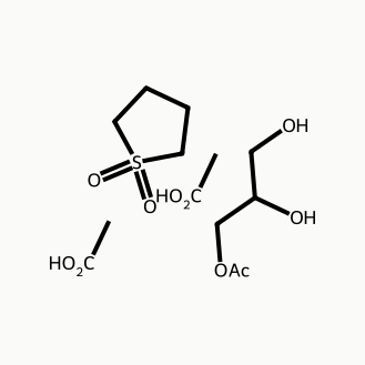 CC(=O)O.CC(=O)O.CC(=O)OCC(O)CO.O=S1(=O)CCCC1